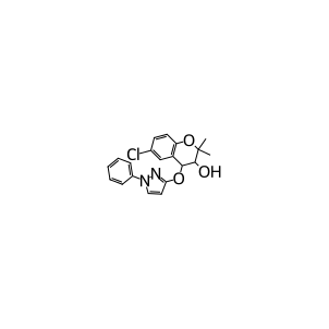 CC1(C)Oc2ccc(Cl)cc2C(Oc2ccn(-c3ccccc3)n2)C1O